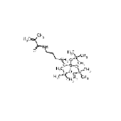 C=C(C)C(=O)NCCC[SiH2]O[Si](O[Si](C)(C)C)(O[Si](C)(C)C)O[Si](C)(C)C